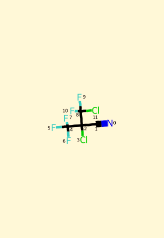 N#CC(Cl)(C(F)(F)F)C(F)(F)Cl